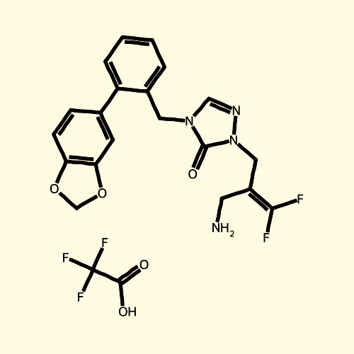 NCC(Cn1ncn(Cc2ccccc2-c2ccc3c(c2)OCO3)c1=O)=C(F)F.O=C(O)C(F)(F)F